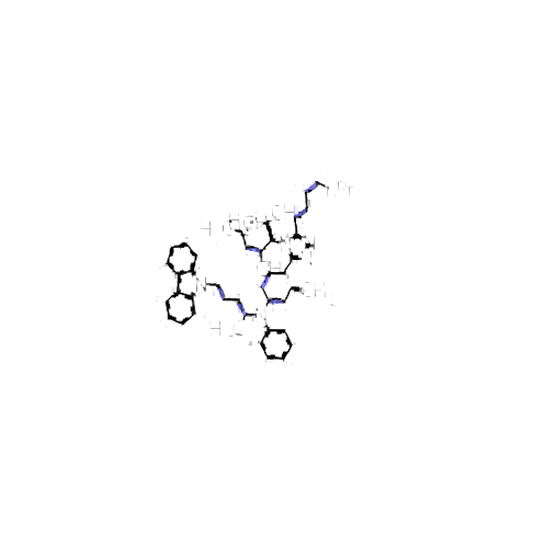 C=C/C=C(\C=C/Cc1nnc(/C=C/C=C\CCC)n1C(=C(C)C)/C(C)=C\C(=C)C)N(/C(C)=C/C=C/n1c2ccccc2c2ccccc21)c1ccccc1